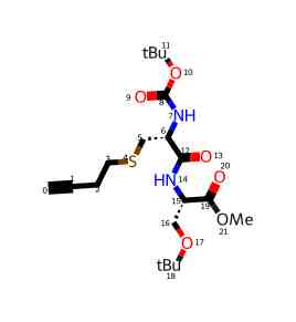 C#CCCSC[C@H](NC(=O)OC(C)(C)C)C(=O)N[C@@H](COC(C)(C)C)C(=O)OC